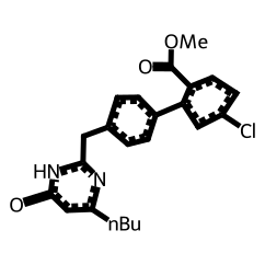 CCCCc1cc(=O)[nH]c(Cc2ccc(-c3cc(Cl)ccc3C(=O)OC)cc2)n1